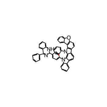 c1ccc(C2=NC(c3ccc(-n4c5ccccc5c5ccc6c7ccc8oc9ccccc9c8c7n(-c7ccccc7)c6c54)cc3)Nc3ccccc32)cc1